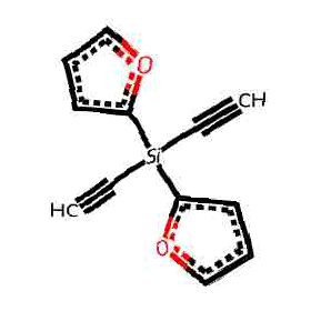 C#C[Si](C#C)(c1ccco1)c1ccco1